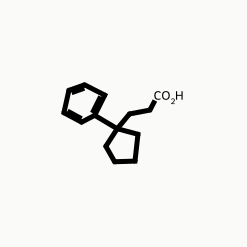 O=C(O)CCC1(c2ccccc2)CCCC1